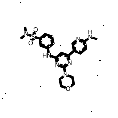 CNc1ccc(-c2cc(Nc3cccc(S(=O)(=O)N(C)C)c3)nc(N3CCOCC3)n2)cn1